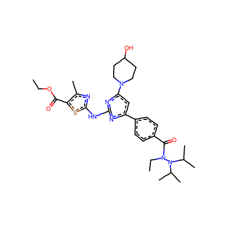 CCOC(=O)c1sc(Nc2nc(-c3ccc(C(=O)N(CC)N(C(C)C)C(C)C)cc3)cc(N3CCC(O)CC3)n2)nc1C